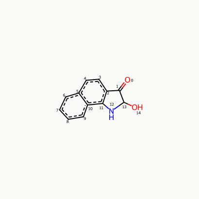 O=C1c2ccc3ccccc3c2NC1O